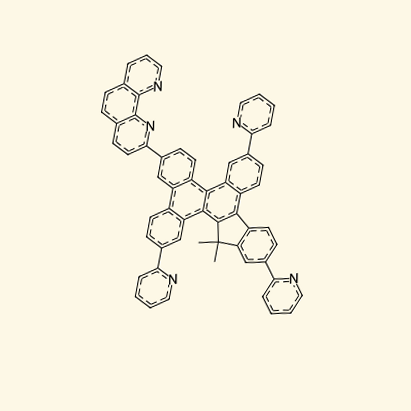 CC1(C)c2cc(-c3ccccn3)ccc2-c2c1c1c3cc(-c4ccccn4)ccc3c3cc(-c4ccc5ccc6cccnc6c5n4)ccc3c1c1cc(-c3ccccn3)ccc21